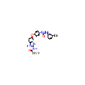 CCc1cccc(NC(=O)Nc2ccc(Oc3ccc4[nH]c(NC(=O)OC)nc4c3)cc2)c1